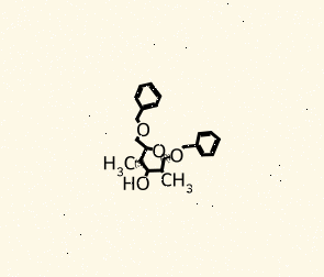 CC1C(O)[C@H](C)C(COCc2ccccc2)O[C@H]1OCc1ccccc1